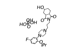 CC(C)Oc1ccc(F)cc1N1CCN(CCCN2C(=O)C3CCC(O)CC3C2=O)CC1.O=P(O)(O)O